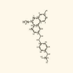 Cc1ccc2c(c1)nc(N)c1ncc(CCc3ccc(CN(C)C)cc3)cc12